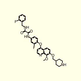 COc1c(OCC2CCNCC2)ccc2c(Oc3ccc(NC(=O)C(=O)NCc4ccccc4F)cc3F)ccnc12